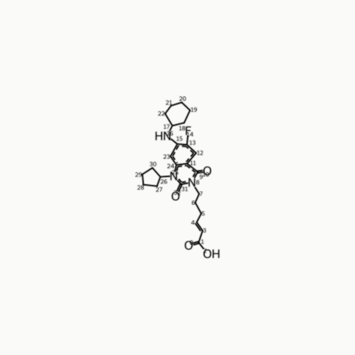 O=C(O)/C=C/CCCn1c(=O)c2cc(F)c(NC3CCCCC3)cc2n(C2CCCC2)c1=O